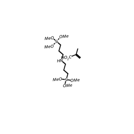 C=C(C)C(=O)O.CO[Si](CCCNCCC[Si](OC)(OC)OC)(OC)OC